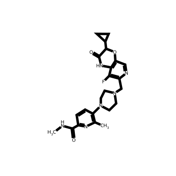 CNC(=O)c1ccc(N2CCN(Cc3ncc4c(c3F)NC(=O)C(C3CC3)O4)CC2)c(C)n1